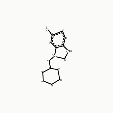 Clc1ccc2c(c1)N(CC1CCCCC1)[CH]N2